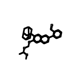 COC(C)OCOc1cc2ccc(-c3ccccc3C=O)cc2cc1C12CC3CC(CC(C3)C1)C2